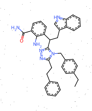 CCc1ccc(Cn2c(CCc3ccccc3)nnc2C(Cc2c[nH]c3ccccc23)c2cccc(C(N)=O)c2N)cc1